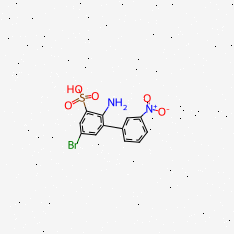 Nc1c(-c2cccc([N+](=O)[O-])c2)cc(Br)cc1S(=O)(=O)O